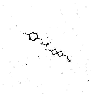 O=C(NCc1ccc(Cl)cc1)NC1CC2(CC(CO)C2)C1